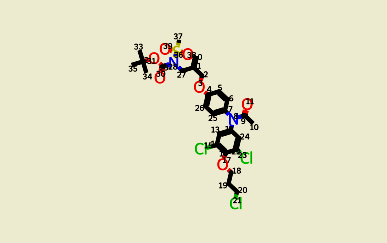 C=C(COc1ccc(N(C(C)=O)c2cc(Cl)c(OCCCCl)c(Cl)c2)cc1)CN(C(=O)OC(C)(C)C)S(C)(=O)=O